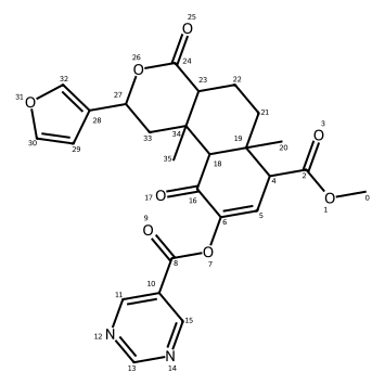 COC(=O)C1C=C(OC(=O)c2cncnc2)C(=O)C2C1(C)CCC1C(=O)OC(c3ccoc3)CC12C